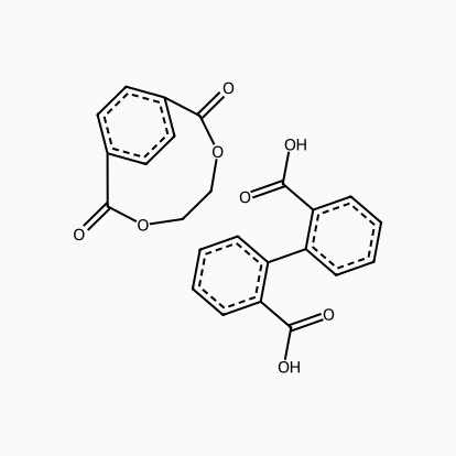 O=C(O)c1ccccc1-c1ccccc1C(=O)O.O=C1OCCOC(=O)c2ccc1cc2